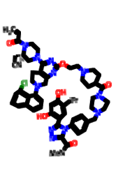 C=CC(=O)N1CCN(c2nc(OCCN3CCC(C(=O)N4CCN(Cc5ccc(-n6c(C(=O)NC)nnc6-c6cc(C(C)C)c(O)cc6O)cc5)CC4)CC3)nc3c2CCN(c2cccc4cccc(Cl)c24)C3)C[C@@H]1CC#N